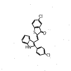 O=C1/C(=C/c2c(-c3ccc(Cl)cc3)[nH]c3ccccc23)Sc2ccc(Cl)cc21